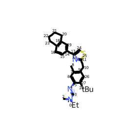 CCN(C)/C=N/c1cc(C)c(Cc2nc(-c3ccc4c(c3)CCCC4)cs2)cc1C(C)(C)C